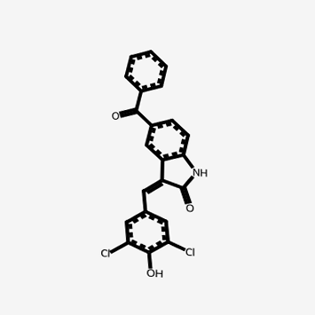 O=C1Nc2ccc(C(=O)c3ccccc3)cc2C1=Cc1cc(Cl)c(O)c(Cl)c1